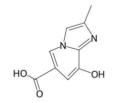 Cc1cn2cc(C(=O)O)cc(O)c2n1